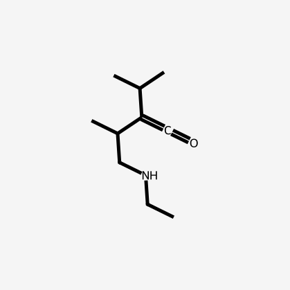 CCNCC(C)C(=C=O)C(C)C